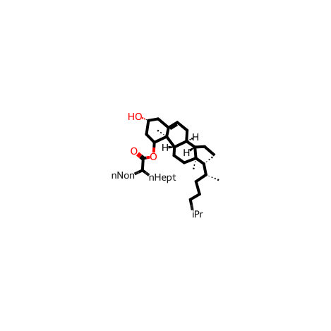 CCCCCCCCCC(CCCCCCC)C(=O)OC1C[C@H](O)CC2=CC[C@H]3[C@@H]4CC[C@H]([C@H](C)CCCC(C)C)[C@@]4(C)CC[C@@H]3[C@]21C